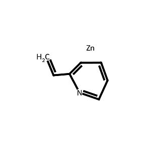 C=Cc1ccccn1.[Zn]